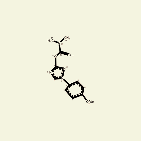 COc1ccc(-n2cnc(OC(=O)N(C)C)n2)cc1